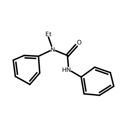 [CH2]CN(C(=O)Nc1ccccc1)c1ccccc1